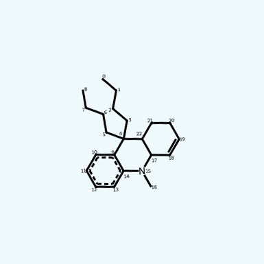 CCCCC1(CCCC)c2ccccc2N(C)C2C=CCCC21